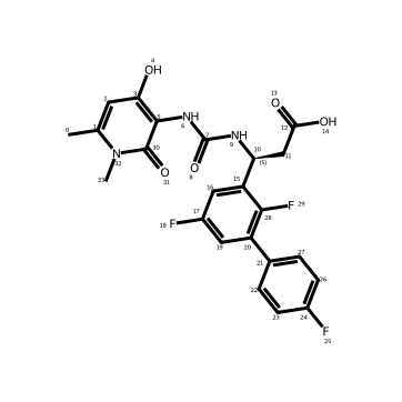 Cc1cc(O)c(NC(=O)N[C@@H](CC(=O)O)c2cc(F)cc(-c3ccc(F)cc3)c2F)c(=O)n1C